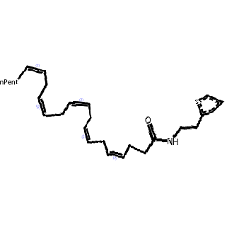 CCCCC/C=C\C/C=C\C/C=C\C/C=C\C/C=C\CCC(=O)NCCc1cccs1